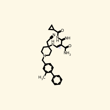 Cc1cc(CN2CCC(CC#N)(N/C=C(\C(=N)NC(=O)C3CC3)C(N)=O)CC2)ccc1-c1ccccc1